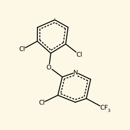 FC(F)(F)c1cnc(Oc2c(Cl)c[c]cc2Cl)c(Cl)c1